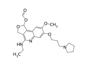 CCNc1nc2cc(OCCCN3CCCC3)c(OC)cc2c2c1COC2OC=O